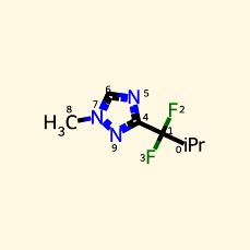 CC(C)C(F)(F)c1ncn(C)n1